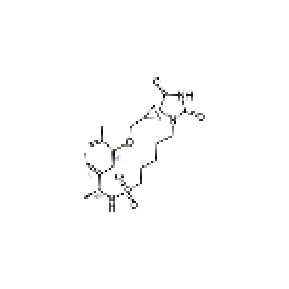 C=C(C)/C(=C\C(=C/C)[C@H](C)NS(=O)(=O)CCCCCN1CC(=O)NC1=O)OCC1CC1